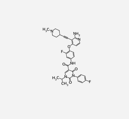 CC(C)n1cc(C(=O)Nc2ccc(Oc3ccnc(N)c3C#CC3CCN(C)CC3)c(F)c2)c(=O)n(-c2ccc(F)cc2)c1=O